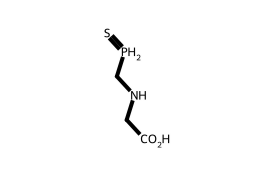 O=C(O)CNC[PH2]=S